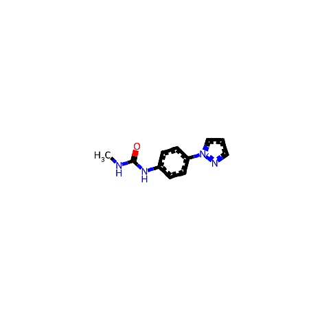 CNC(=O)Nc1ccc(-n2cccn2)cc1